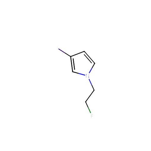 FCCn1ccc(I)c1